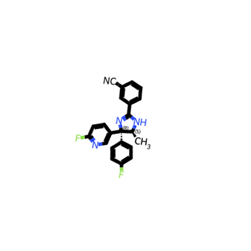 C[C@@H]1NC(c2cccc(C#N)c2)=N[C@]1(c1ccc(F)cc1)c1ccc(F)nc1